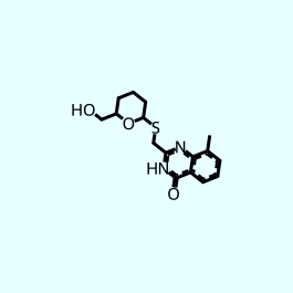 Cc1cccc2c(=O)[nH]c(CSC3CCCC(CO)O3)nc12